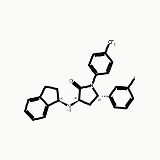 O=C1[C@H](N[C@@H]2CCc3ccccc32)C[C@@H](c2cccc(I)c2)N1c1ccc(C(F)(F)F)cc1